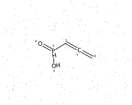 C=C=C[PH](=O)O